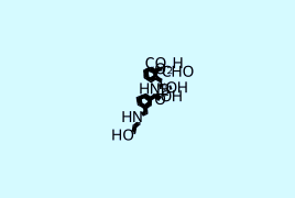 O=COc1c(C[C@H](NC(=O)c2cccc(CNCCCO)c2)B(O)O)cccc1C(=O)O